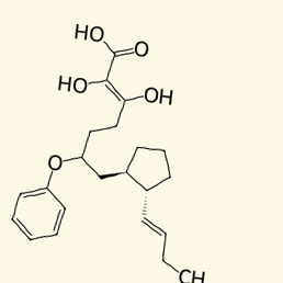 CC/C=C/[C@H]1CCC[C@@H]1CC(CC/C(O)=C(\O)C(=O)O)Oc1ccccc1